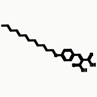 CCCCCCCCCCCCOc1ccc(C=C(C(=O)O)C(=O)O)cc1